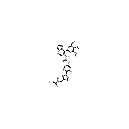 COc1cc(-c2c(NC(=O)Nc3cnc(-c4noc(CNC(=O)O)n4)c(C)c3)cnc3ccnn23)cc(OC)c1OC